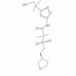 CC(C)(CO)c1cc(NC(=O)C(C)(C)S(=O)(=O)CC[C@H]2CCOC2)on1